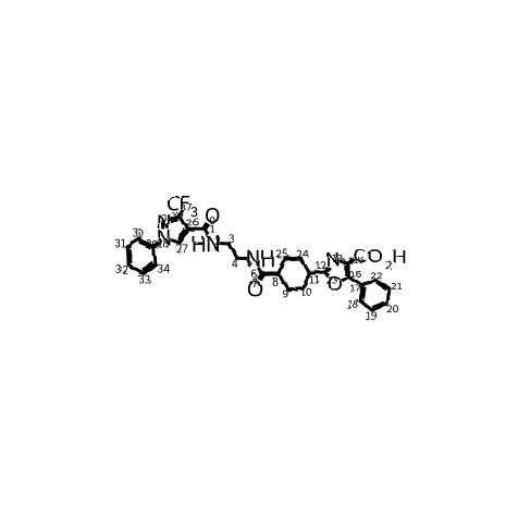 O=C(NCCNC(=O)C1CCC(c2nc(C(=O)O)c(-c3ccccc3)o2)CC1)c1cn(-c2ccccc2)nc1C(F)(F)F